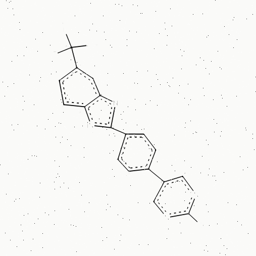 Oc1ncc(-c2ccc(-c3nc4cc(C(F)(F)F)ccc4[nH]3)cc2)cn1